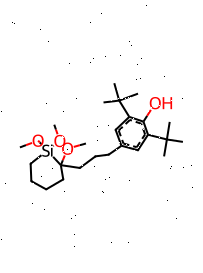 COC1(CCCc2cc(C(C)(C)C)c(O)c(C(C)(C)C)c2)CCCC[Si]1(OC)OC